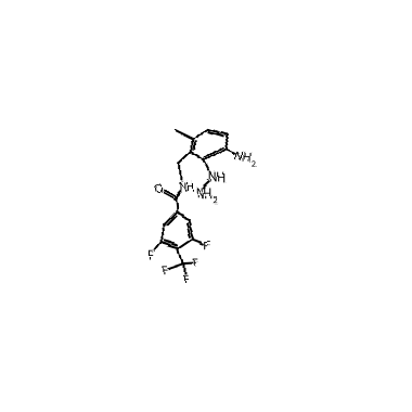 Cc1ccc(N)c(NN)c1CNC(=O)c1cc(F)c(C(F)(F)F)c(F)c1